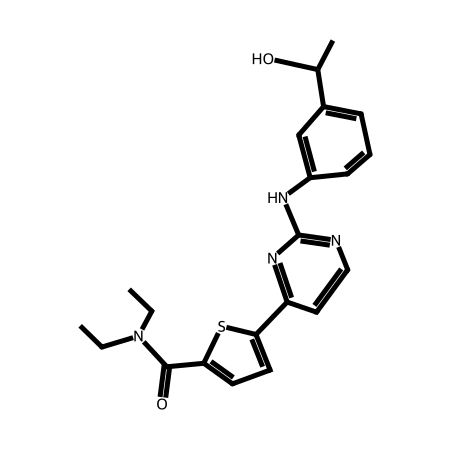 CCN(CC)C(=O)c1ccc(-c2ccnc(Nc3cccc(C(C)O)c3)n2)s1